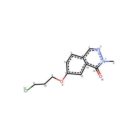 Cn1ncc2ccc(OCCCCl)cc2c1=O